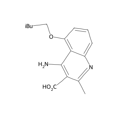 CCC(C)COc1cccc2nc(C)c(C(=O)O)c(N)c12